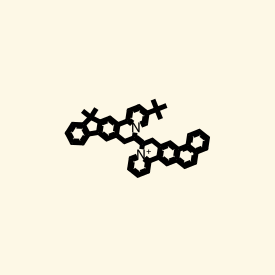 CC(C)(C)c1ccc2[n+](c1)/C(=C1\Cc3cc4c(ccc5ccccc54)cc3-c3cccc[n+]31)Cc1cc3c(cc1-2)C(C)(C)c1ccccc1-3